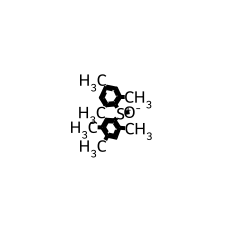 Cc1cc(C)c([S+]([O-])c2cc(C)c(C)cc2C)c(C)c1